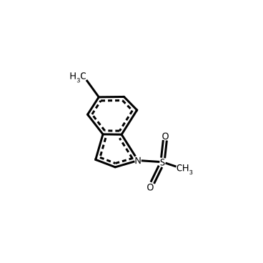 Cc1ccc2c(ccn2S(C)(=O)=O)c1